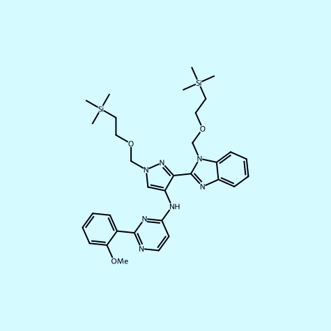 COc1ccccc1-c1nccc(Nc2cn(COCC[Si](C)(C)C)nc2-c2nc3ccccc3n2COCC[Si](C)(C)C)n1